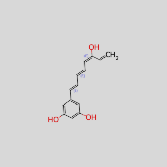 C=C\C(O)=C/C=C/C=C/c1cc(O)cc(O)c1